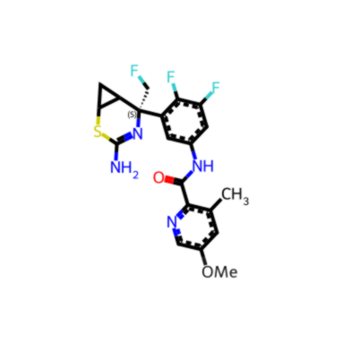 COc1cnc(C(=O)Nc2cc(F)c(F)c([C@@]3(CF)N=C(N)SC4CC43)c2)c(C)c1